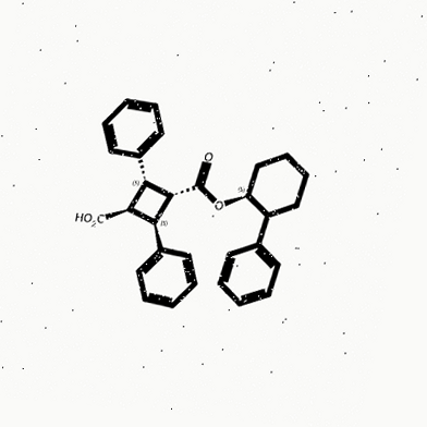 O=C(O)[C@H]1[C@H](c2ccccc2)[C@H](C(=O)O[C@H]2CCCCC2c2ccccc2)[C@H]1c1ccccc1